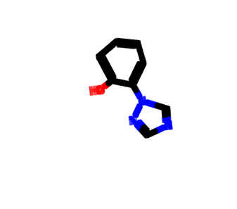 Oc1ccccc1-n1cncn1